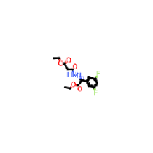 CCOC(=O)CC(=O)N/N=C(\C(=O)OCC)c1cc(F)cc(F)c1